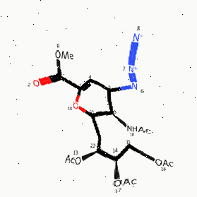 COC(=O)C1=CC(N=[N+]=[N-])[C@@H](NC(C)=O)C([C@H](OC(C)=O)[C@@H](COC(C)=O)OC(C)=O)O1